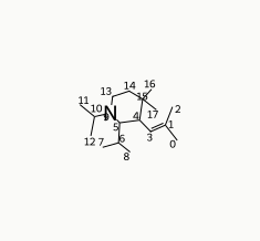 CC(C)=CC1C(C(C)C)N(C(C)C)CCC1(C)C